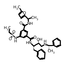 CCS(=O)(=O)Nc1cc(C(=O)NC(C)c2ccc(C)o2)cc(C(=O)N[C@@H](Cc2ccccc2)[C@H](O)CN[C@@H](C)c2ccccc2)c1